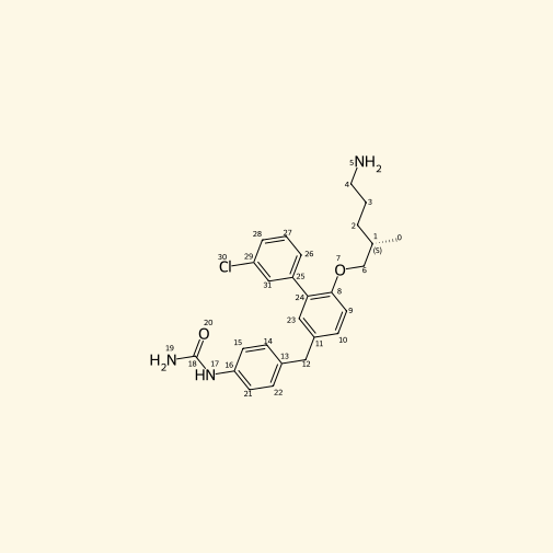 C[C@@H](CCCN)COc1ccc(Cc2ccc(NC(N)=O)cc2)cc1-c1cccc(Cl)c1